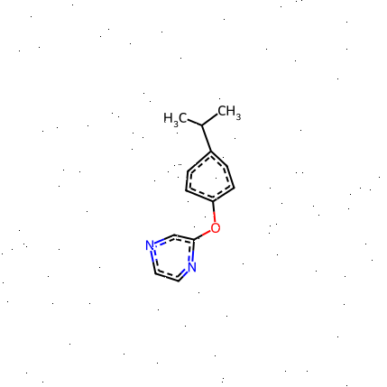 CC(C)c1ccc(Oc2cnccn2)cc1